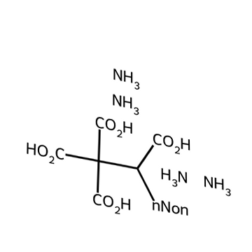 CCCCCCCCCC(C(=O)O)C(C(=O)O)(C(=O)O)C(=O)O.N.N.N.N